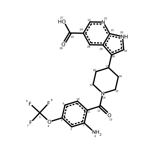 Nc1cc(OC(F)(F)F)ccc1C(=O)N1CCC(c2c[nH]c3ncc(C(=O)O)cc23)CC1